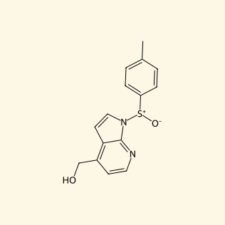 Cc1ccc([S+]([O-])n2ccc3c(CO)ccnc32)cc1